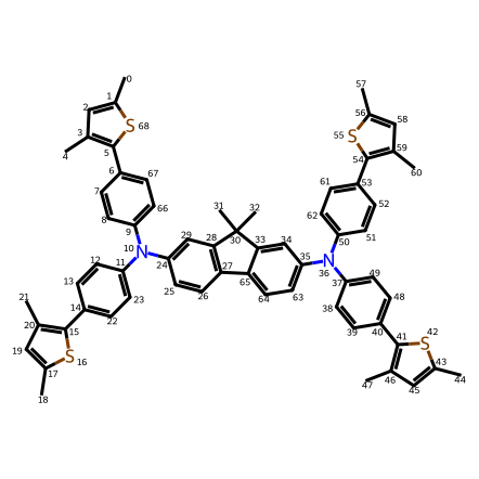 Cc1cc(C)c(-c2ccc(N(c3ccc(-c4sc(C)cc4C)cc3)c3ccc4c(c3)C(C)(C)c3cc(N(c5ccc(-c6sc(C)cc6C)cc5)c5ccc(-c6sc(C)cc6C)cc5)ccc3-4)cc2)s1